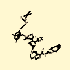 Cc1c(-c2ccc(N3CCn4cnc(C(=O)Nc5nc6ccccc6s5)c4C3)nc2C(=O)OC(C)(C)C)cnn1CC12CC3(C)CC(C)(C1)CC(OCCNC(=O)OC(C)(C)C)(C3)C2